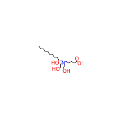 CCCCCCCCCCC(O)C[N+](CCO)(CCO)CCCCC(=O)[O-]